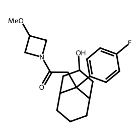 COC1CN(C(=O)CC2(c3ccc(F)cc3)C3CCCC2CC(O)C3)C1